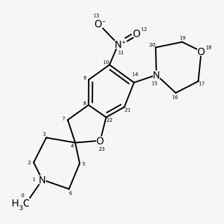 CN1CCC2(CC1)Cc1cc([N+](=O)[O-])c(N3CCOCC3)cc1O2